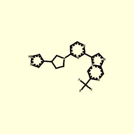 FC(F)(F)c1cn2c(-c3nccc(N4CCC(c5cn[nH]c5)C4)n3)cnc2cn1